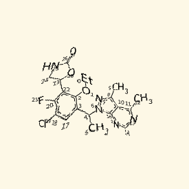 CCOc1c(C(C)n2nc(C)c3c(C)ncnc32)cc(Cl)c(F)c1C1CNC(=O)O1